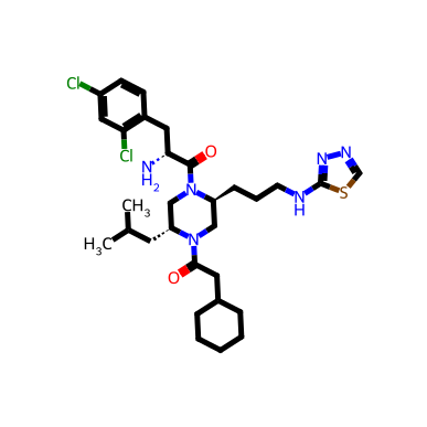 CC(C)C[C@@H]1CN(C(=O)[C@H](N)Cc2ccc(Cl)cc2Cl)[C@@H](CCCNc2nncs2)CN1C(=O)CC1CCCCC1